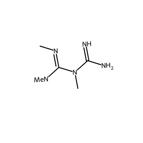 C/N=C(\NC)N(C)C(=N)N